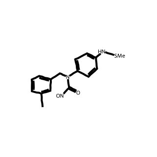 CSNc1ccc(N(Cc2cccc(C)c2)C(=O)N=O)cc1